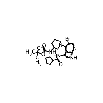 CC(C)(C)OC(=O)NC1CCCN(c2c(Br)cnc3[nH]cc(NC(=O)C4CCCC4)c23)C1